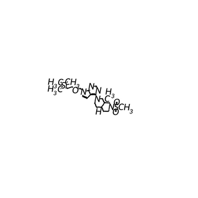 C[C@@]12CN(c3ncnc4c3ccn4COCC[Si](C)(C)C)CC[C@@H]1CCN(S(C)(=O)=O)C2